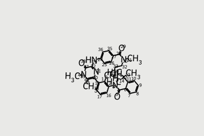 Cc1c(NC(=O)c2ccccc2C(C)(C)C)cccc1-c1nc(Nc2ccc(C(=O)N(C)CCO)cc2)c(=O)n(C)c1C